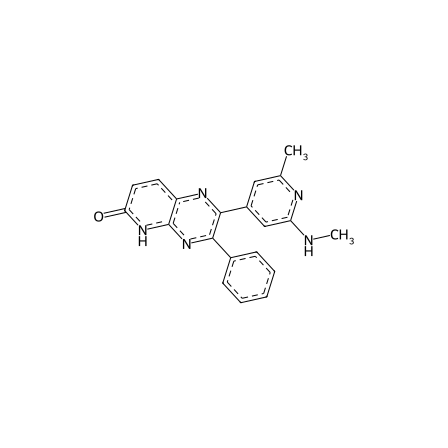 CNc1cc(-c2nc3ccc(=O)[nH]c3nc2-c2ccccc2)cc(C)n1